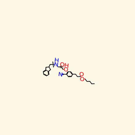 CCCCCOC(=O)CCc1ccc(C#N)c(OC[C@H](O)CNC(C)(C)CC2Cc3ccccc3C2)c1